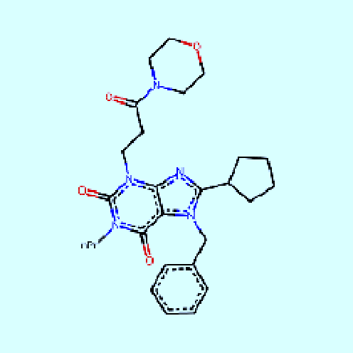 CCCn1c(=O)c2c(nc(C3CCCC3)n2Cc2ccccc2)n(CCC(=O)N2CCOCC2)c1=O